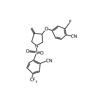 C=C1CN(S(=O)(=O)c2ccc(C(F)(F)F)cc2C#N)CC1Oc1ccc(C#N)c(F)c1